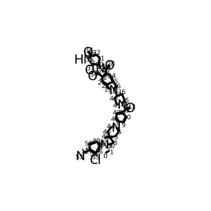 CC[C@H]1CC2(CCN(c3ccc(C(=O)N4CCC(N5Cc6cc7c(cc6C5)C(=O)N(C5CCC(=O)NC5=O)C7=O)CC4)cc3)CC2)CN1c1ccc(C#N)c(Cl)c1